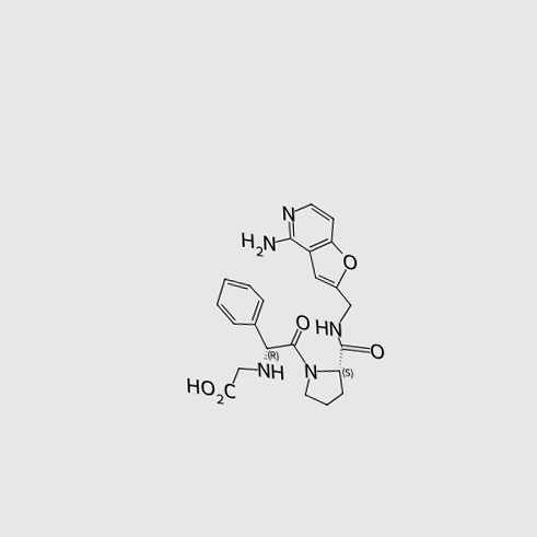 Nc1nccc2oc(CNC(=O)[C@@H]3CCCN3C(=O)[C@H](NCC(=O)O)c3ccccc3)cc12